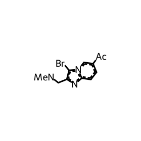 CNCc1nc2ccc(C(C)=O)cn2c1Br